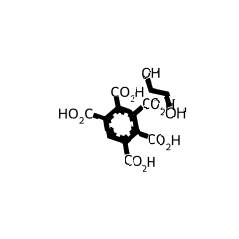 O=C(O)c1cc(C(=O)O)c(C(=O)O)c(C(=O)O)c1C(=O)O.OCCO